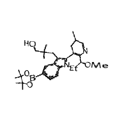 CCn1c(C2=C([C@H](C)OC)N=CC(C)C2)c(CC(C)(C)CO)c2cc(B3OC(C)(C)C(C)(C)O3)ccc21